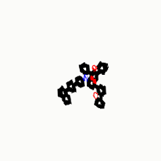 c1ccc(N(c2ccc(-c3ccc(-c4cccc5ccccc45)cc3)cc2)c2ccc(-c3cccc4c3oc3ccccc34)cc2)c(-c2cccc3c2oc2ccccc23)c1